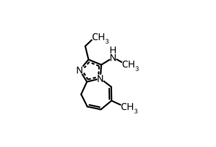 CCc1nc2n(c1NC)C=C(C)C=CC2